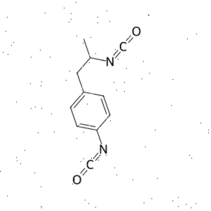 CC(Cc1ccc(N=C=O)cc1)N=C=O